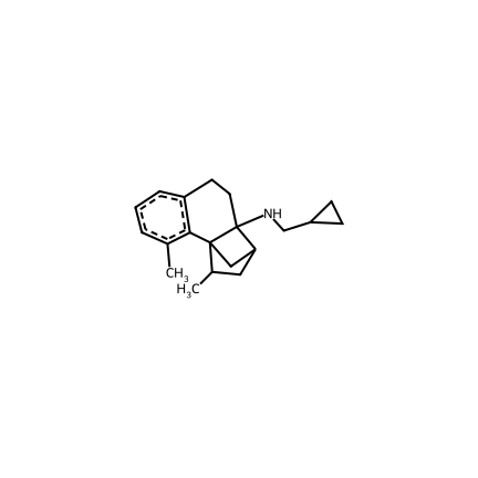 Cc1cccc2c1C13CC(CC1C)C3(NCC1CC1)CC2